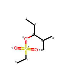 CCC(OS(=O)(=O)CC)C(C)C